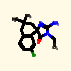 CC1(C)Cc2ccc(Br)cc2C2(C1)N=C(N)N(CC(F)(F)F)C2=O